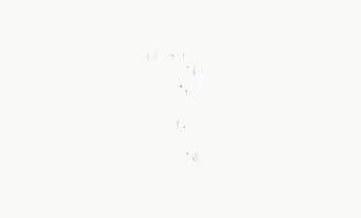 CCCCC/N=N/c1nc(N)cs1